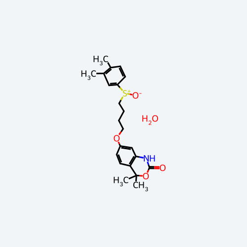 Cc1ccc([S+]([O-])CCCCOc2ccc3c(c2)NC(=O)OC3(C)C)cc1C.O